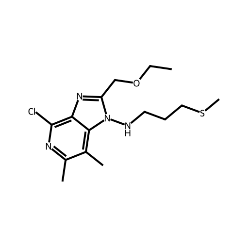 CCOCc1nc2c(Cl)nc(C)c(C)c2n1NCCCSC